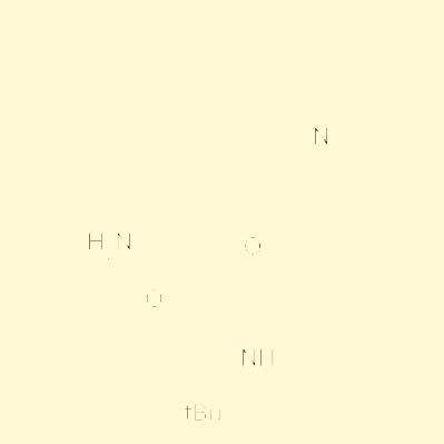 CC(C)(C)NC(=O)OC(CN)c1ccccn1